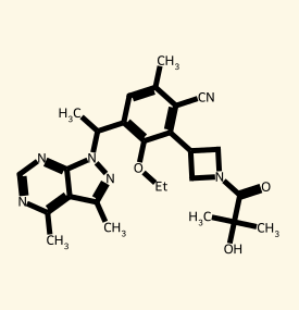 CCOc1c(C(C)n2nc(C)c3c(C)ncnc32)cc(C)c(C#N)c1C1CN(C(=O)C(C)(C)O)C1